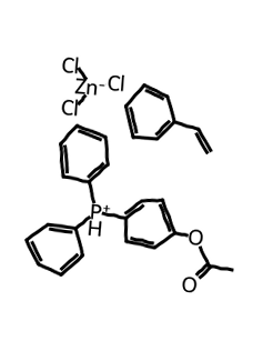 C=Cc1ccccc1.CC(=O)Oc1ccc([PH+](c2ccccc2)c2ccccc2)cc1.[Cl][Zn-]([Cl])[Cl]